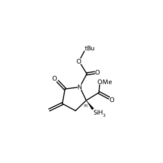 C=C1C[C@@]([SiH3])(C(=O)OC)N(C(=O)OC(C)(C)C)C1=O